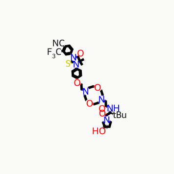 CC(C)(C)[C@H](NC(=O)CN1CCOCCN(CCOc2ccc(N3C(=S)N(c4ccc(C#N)c(C(F)(F)F)c4)C(=O)C3(C)C)cc2)CCOCC1)C(=O)N1CC[C@@H](O)C1